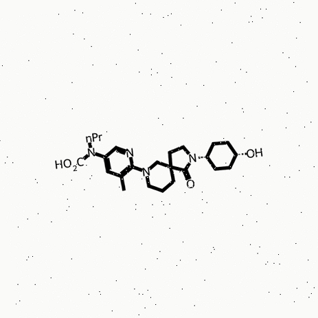 CCCN(C(=O)O)c1cnc(N2CCCC3(CCN([C@H]4CC[C@@H](O)CC4)C3=O)C2)c(C)c1